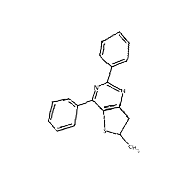 CC1Cc2nc(-c3ccccc3)nc(-c3ccccc3)c2S1